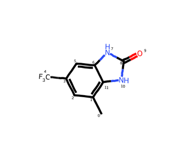 Cc1cc(C(F)(F)F)cc2[nH]c(=O)[nH]c12